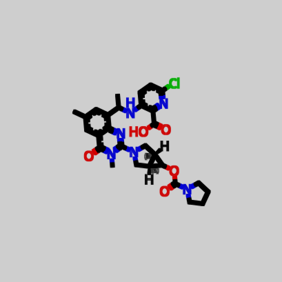 Cc1cc(C(C)Nc2ccc(Cl)nc2C(=O)O)c2nc(N3C[C@@H]4C(OC(=O)N5CCCC5)[C@@H]4C3)n(C)c(=O)c2c1